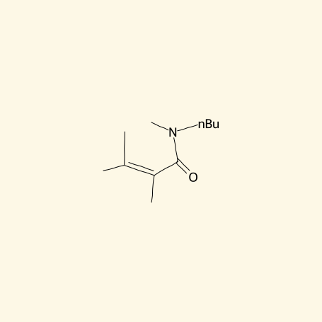 CCCCN(C)C(=O)C(C)=C(C)C